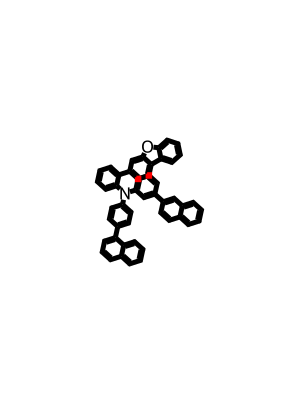 c1cc(-c2ccc3ccccc3c2)cc(N(c2ccc(-c3cccc4ccccc34)cc2)c2ccccc2-c2ccc3c(c2)oc2ccccc23)c1